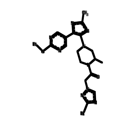 CCOc1ncc(-c2nc(C(F)(F)F)sc2N2CCN(C(=O)Cn3cnc(CC)n3)C(C)C2)cn1